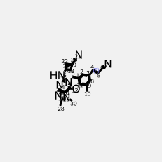 Cc1cc(/C=C/C#N)cc(C)c1Oc1nc(NC23CC(C#N)(C2)C3)nc2nc(C)n(C)c12